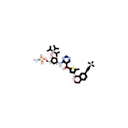 Cc1sc(C(=O)c2cncnc2N[C@@H]2C[C@H](COS(N)(=O)=O)[C@@H](O[Si](C(C)C)(C(C)C)C(C)C)C2)cc1[C@H]1OCCc2ccc(C#C[Si](C)(C)C)cc21